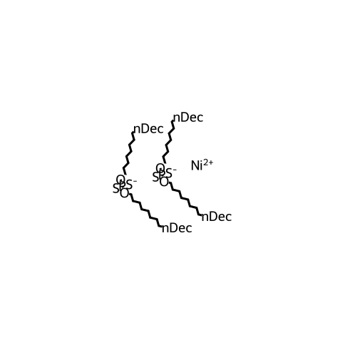 CCCCCCCCCCCCCCCCCCOP(=S)([S-])OCCCCCCCCCCCCCCCCCC.CCCCCCCCCCCCCCCCCCOP(=S)([S-])OCCCCCCCCCCCCCCCCCC.[Ni+2]